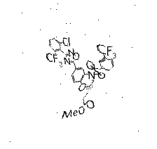 COC(=O)CC[C@H]1CN(S(=O)(=O)c2cccc(C(F)(F)F)c2)c2cc(-c3nc(-c4c(Cl)cccc4C(F)(F)F)no3)ccc2O1